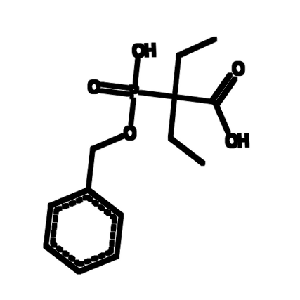 CCC(CC)(C(=O)O)P(=O)(O)OCc1ccccc1